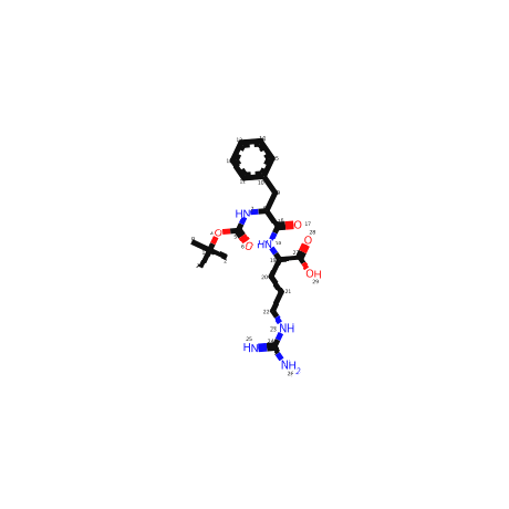 CC(C)(C)OC(=O)NC(Cc1ccccc1)C(=O)NC(CCCNC(=N)N)C(=O)O